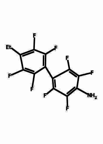 CCc1c(F)c(F)c(-c2c(F)c(F)c(N)c(F)c2F)c(F)c1F